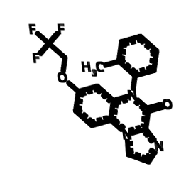 Cc1ccccc1-n1c(=O)c2nccn2c2ccc(OCC(F)(F)F)cc21